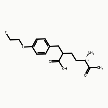 CC(=O)[C@@H](N)CCC(Cc1ccc(OCCF)cc1)C(=O)O